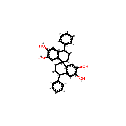 Oc1cc2c(cc1O)C1(CCC2c2ccccc2)CCC(c2ccccc2)c2cc(O)c(O)cc21